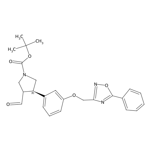 CC(C)(C)OC(=O)N1CC(C=O)[C@H](c2cccc(OCc3noc(-c4ccccc4)n3)c2)C1